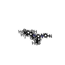 N#Cc1ccc(/N=N/c2ccc(/N=N/c3c(S(=O)(=O)O)cc4c(N)c(S(=O)(=O)O)ccc4c3O)c3cc(S(=O)(=O)O)ccc23)cc1